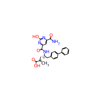 C[C@H](C[C@@H](Cc1ccc(-c2ccccc2)cc1)NC(=O)c1cc(C(N)=O)nc(O)n1)C(=O)O